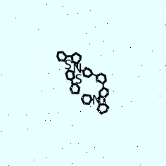 c1ccc(-n2c3ccccc3c3ccc(-c4cccc(-c5ccc(N(c6cccc7c6sc6ccccc67)c6cccc7c6sc6ccccc67)cc5)c4)cc32)cc1